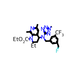 CCOC(=O)N1c2c(cc(C)nc2C)C(N(Cc2cc(CF)cc(C(F)(F)F)c2)c2nnn(C)n2)CC1CC